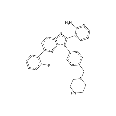 Nc1ncccc1-c1nc2ccc(-c3ccccc3F)nc2n1-c1ccc(CN2CCNCC2)cc1